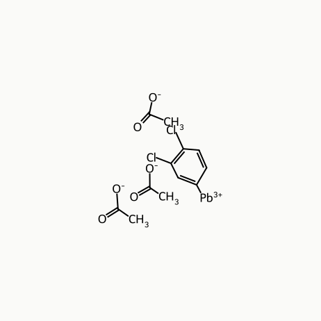 CC(=O)[O-].CC(=O)[O-].CC(=O)[O-].Clc1cc[c]([Pb+3])cc1Cl